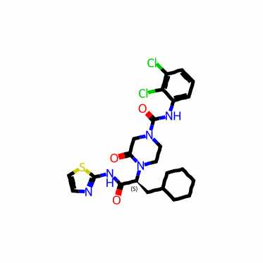 O=C(Nc1nccs1)[C@H](CC1CCCCC1)N1CCN(C(=O)Nc2cccc(Cl)c2Cl)CC1=O